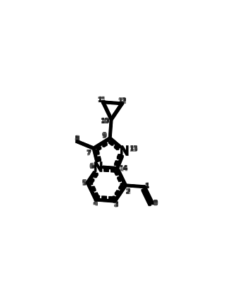 C=Cc1cccn2c(C)c(C3CC3)nc12